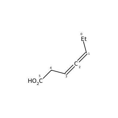 CCC=C=CCC(=O)O